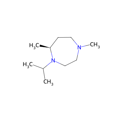 CC(C)N1CCN(C)CC[C@@H]1C